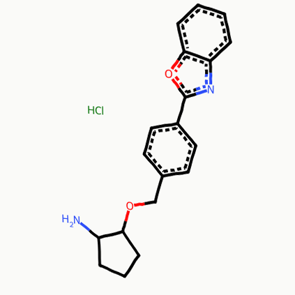 Cl.NC1CCCC1OCc1ccc(-c2nc3ccccc3o2)cc1